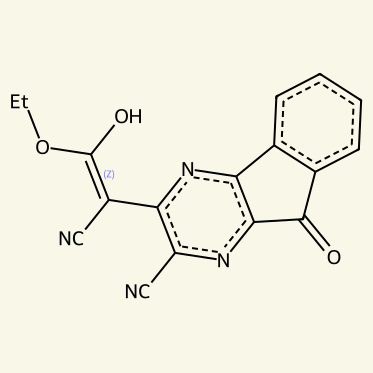 CCO/C(O)=C(\C#N)c1nc2c(nc1C#N)C(=O)c1ccccc1-2